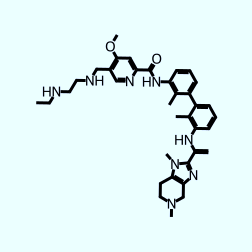 C=C(Nc1cccc(-c2cccc(NC(=O)c3cc(OC)c(CNCCNCC)cn3)c2C)c1C)c1nc2c(n1C)CCN(C)C2